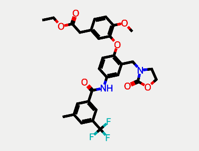 CCOC(=O)Cc1ccc(OC)c(Oc2ccc(NC(=O)c3cc(C)cc(C(F)(F)F)c3)cc2CN2CCOC2=O)c1